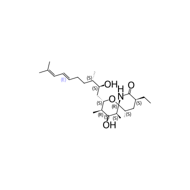 CC[C@H]1C[C@H](C)[C@@]2(NC1=O)O[C@@H](C[C@H](O)[C@@H](C)CC/C=C/C=C(C)C)[C@H](C)[C@H](O)[C@@H]2C